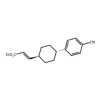 CCOC(=O)C=C[C@H]1CC[C@H](c2ccc(C#N)cc2)CC1